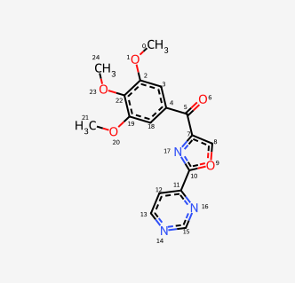 COc1cc(C(=O)c2coc(-c3ccncn3)n2)cc(OC)c1OC